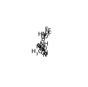 CC1C(Oc2ncccn2)CS(=O)(=O)N1c1cnn2c1CN[C@@H](Cc1cccc(OC(=O)Nc3cc(F)c(F)c(F)c3)c1)C2